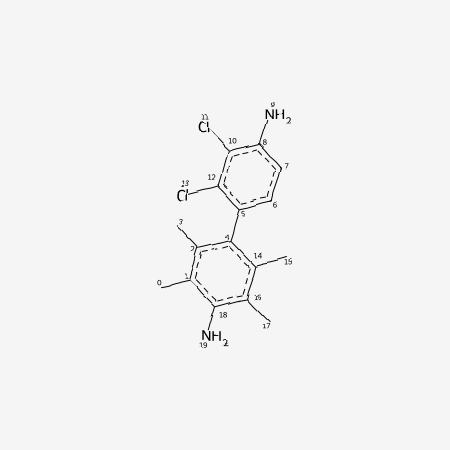 Cc1c(C)c(-c2ccc(N)c(Cl)c2Cl)c(C)c(C)c1N